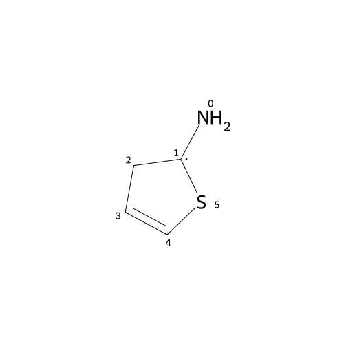 N[C]1CC=CS1